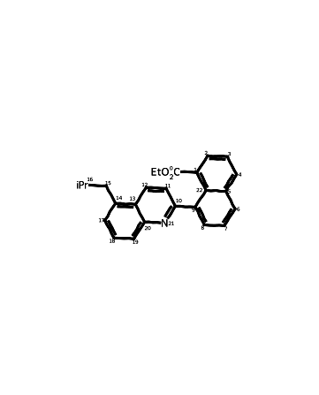 CCOC(=O)c1cccc2cccc(-c3ccc4c(CC(C)C)cccc4n3)c12